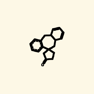 O=C1CCC2(C1)CC1C=CC=CC1Cc1ccccc12